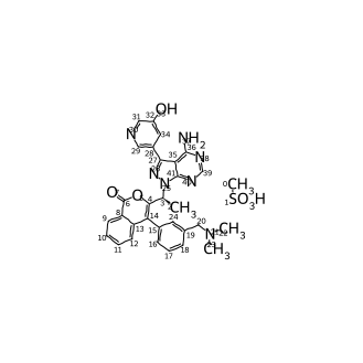 CS(=O)(=O)O.C[C@@H](c1oc(=O)c2ccccc2c1-c1cccc(CN(C)C)c1)n1nc(-c2cncc(O)c2)c2c(N)ncnc21